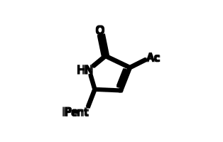 CCCC(C)C1C=C(C(C)=O)C(=O)N1